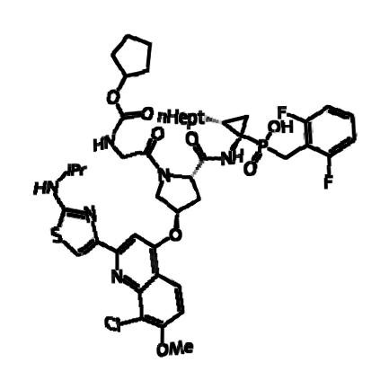 CCCCCCC[C@@H]1C[C@]1(NC(=O)[C@@H]1C[C@@H](Oc2cc(-c3csc(NC(C)C)n3)nc3c(Cl)c(OC)ccc23)CN1C(=O)CNC(=O)OC1CCCC1)P(=O)(O)Cc1c(F)cccc1F